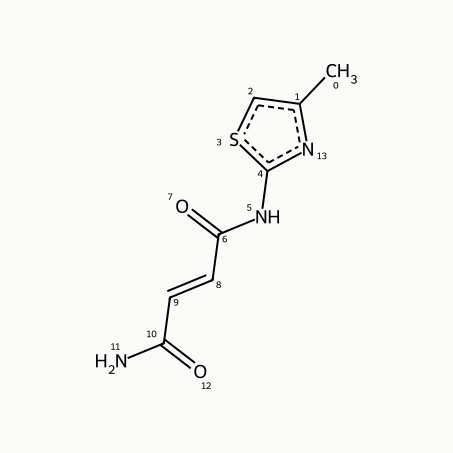 Cc1csc(NC(=O)/C=C/C(N)=O)n1